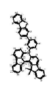 CC1(C)c2ccccc2-c2ccc3c(c21)C1(C)c2ccccc2-c2cccc(c21)N3c1cccc(-c2ccc3c(c2)sc2ccccc23)c1